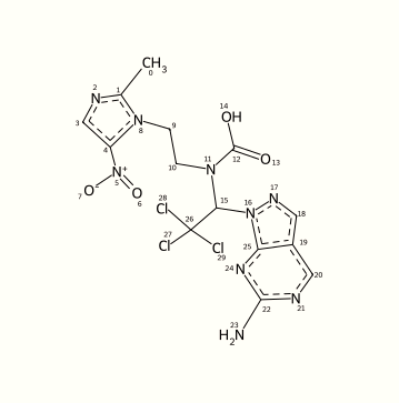 Cc1ncc([N+](=O)[O-])n1CCN(C(=O)O)C(n1ncc2cnc(N)nc21)C(Cl)(Cl)Cl